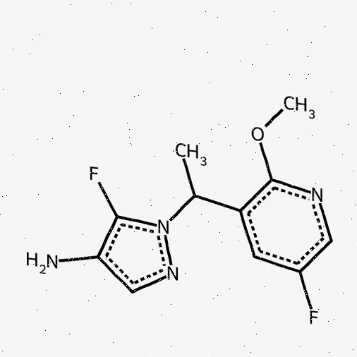 COc1ncc(F)cc1C(C)n1ncc(N)c1F